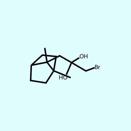 CC12CCC(CC1)C2(C)CC(O)(O)CBr